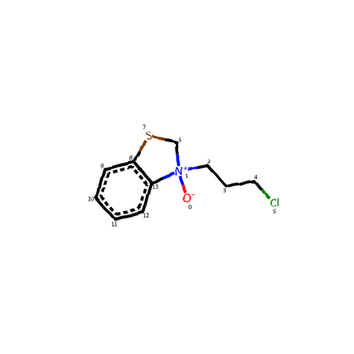 [O-][N+]1(CCCCl)CSc2ccccc21